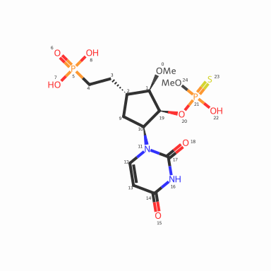 CO[C@@H]1[C@@H](CCP(=O)(O)O)C[C@H](n2ccc(=O)[nH]c2=O)[C@@H]1OP(O)(=S)OC